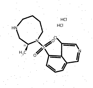 C[C@H]1CNCCCCN1S(=O)(=O)c1cccc2cncc(Cl)c12.Cl.Cl